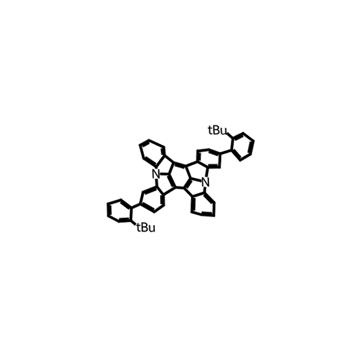 CC(C)(C)c1ccccc1-c1ccc2c3c4c5ccccc5n5c6cc(-c7ccccc7C(C)(C)C)ccc6c(c6c7ccccc7n(c2c1)c63)c45